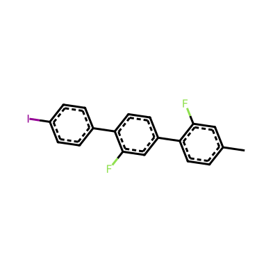 Cc1ccc(-c2ccc(-c3ccc(I)cc3)c(F)c2)c(F)c1